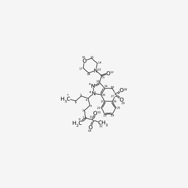 C=C(CCC(CCC)n1nc(C(=O)N2CCOCC2)c2c1-c1ccccc1S(=O)(=O)C2)S(C)(=O)=O